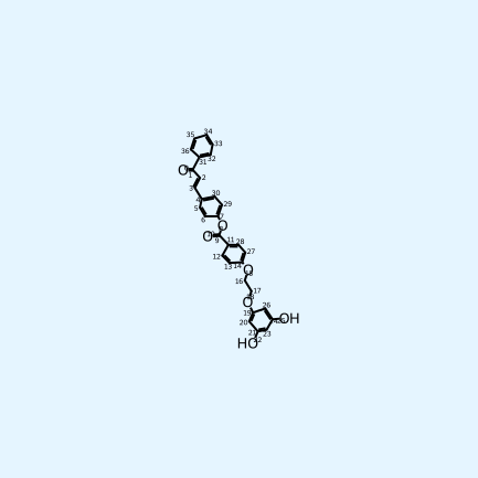 O=C(C=Cc1ccc(OC(=O)c2ccc(OCCOc3cc(O)cc(O)c3)cc2)cc1)c1ccccc1